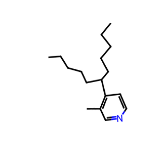 CCCCCC(CCCCC)c1ccncc1C